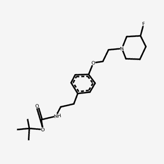 CC(C)(C)OC(=O)NCCc1ccc(OCCN2CCCC(F)C2)cc1